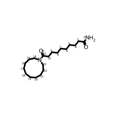 NC(=O)CCCCCCCCC(=O)N1CCCCCCCCCC1